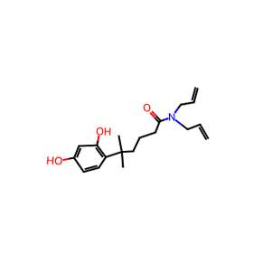 C=CCN(CC=C)C(=O)CCCC(C)(C)c1ccc(O)cc1O